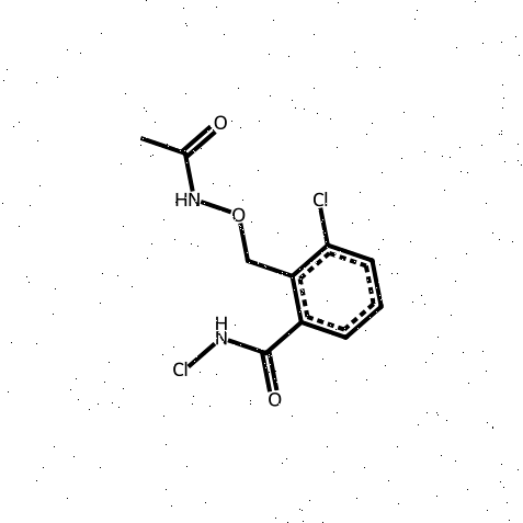 CC(=O)NOCc1c(Cl)cccc1C(=O)NCl